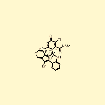 CCCc1nc(=O)c(Cl)c(C(=O)NC)n1Cc1c2ccocc-2c(Br)c1-c1ccccc1NS(=O)(=O)C(F)(F)F